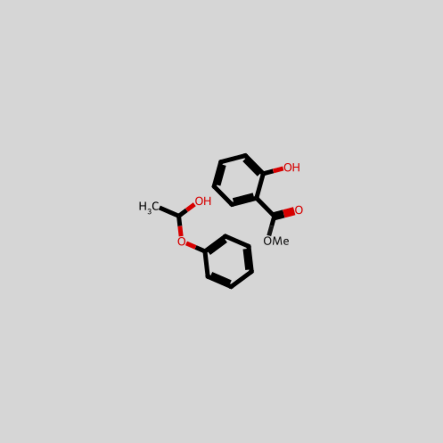 CC(O)Oc1ccccc1.COC(=O)c1ccccc1O